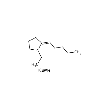 C#N.CCCCC=C1CCCN1CC